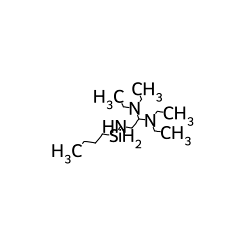 CCCC[SiH2]NCC(N(CC)CC)N(CC)CC